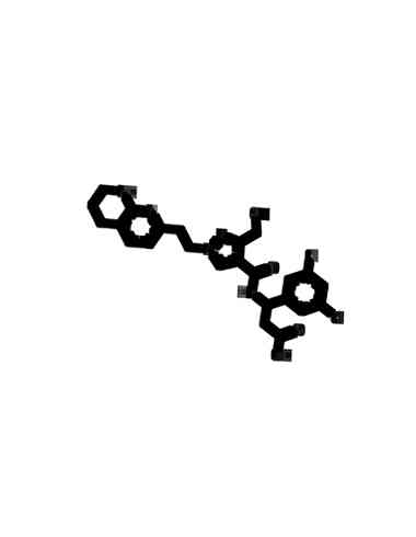 O=C(O)CC(NC(=O)c1cn(CCc2ccc3c(n2)NCCC3)nc1CO)c1cc(Cl)cc(Cl)c1